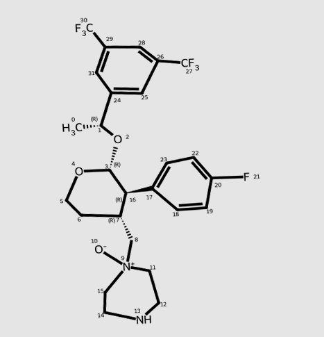 C[C@@H](O[C@H]1OCC[C@@H](C[N+]2([O-])CCNCC2)[C@@H]1c1ccc(F)cc1)c1cc(C(F)(F)F)cc(C(F)(F)F)c1